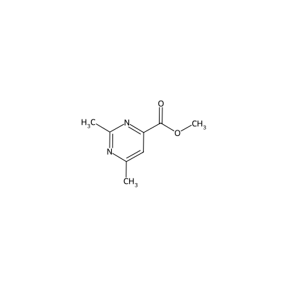 COC(=O)c1cc(C)nc(C)n1